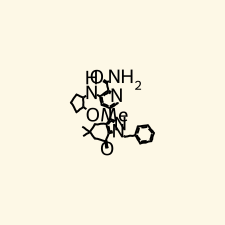 COC1CCCC1Nc1cc(-c2nn(Cc3ccccc3)c3c2CC(C)(C)CC3=O)cnc1C(N)=O